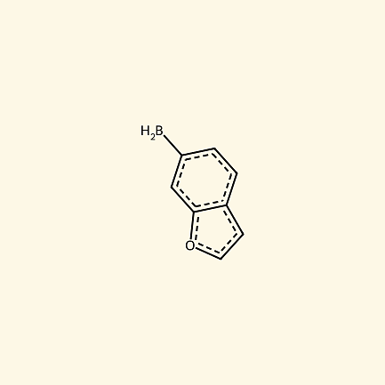 Bc1ccc2ccoc2c1